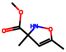 COC(=O)C1(C)C=C(C)ON1